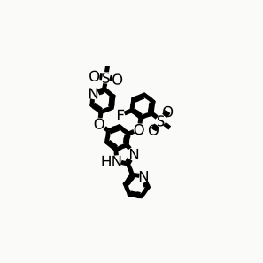 CS(=O)(=O)c1ccc(Oc2cc(Oc3c(F)cccc3S(C)(=O)=O)c3nc(-c4ccccn4)[nH]c3c2)cn1